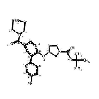 CC(C)(C)OC(=O)N1CC[C@H](Oc2ncc(C(=O)N3CCNCC3)cc2-c2ccc(F)cc2)C1